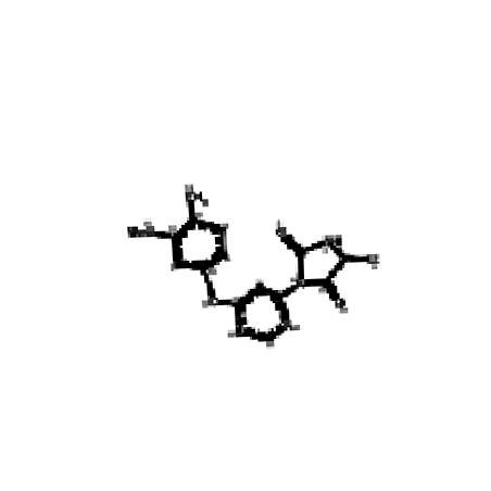 CCC1NC(=O)N(c2cc(Oc3ccc(C)c(OC)c3)ncn2)C1=O